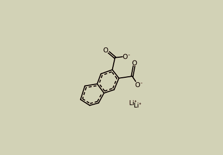 O=C([O-])c1cc2ccccc2cc1C(=O)[O-].[Li+].[Li+]